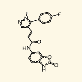 Cn1ncc(C=CC(=O)Nc2ccc3[nH]c(=O)oc3c2)c1-c1ccc(F)cc1